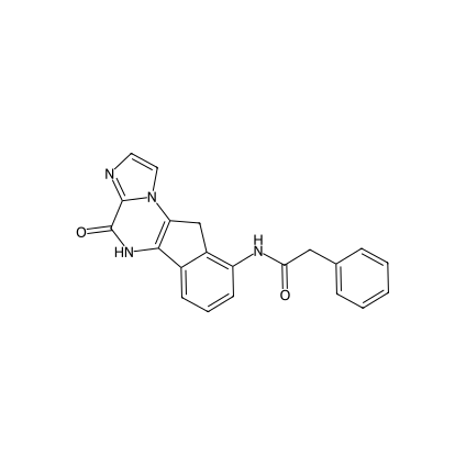 O=C(Cc1ccccc1)Nc1cccc2c1Cc1c-2[nH]c(=O)c2nccn12